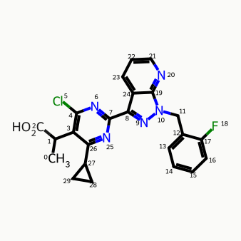 CC(C(=O)O)c1c(Cl)nc(-c2nn(Cc3ccccc3F)c3ncccc23)nc1C1CC1